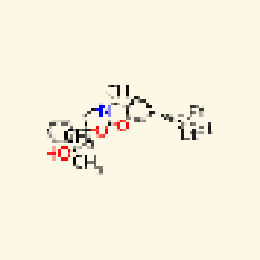 CC[Si](C#Cc1ccc([C@H](C)N2CCC(CC(C)(C)O)(c3ccccc3)OC2=O)cc1)(CC)CC